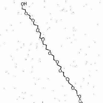 COOCCOCCOCCOCCOCCOCCCCOCCOCCOCCOCCO